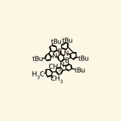 Cc1cc(C)c(-c2ccc3c4cc(C(C)(C)C)cc5c4n(c3c2)-c2cc3c4c6c2B5c2cc(C(C)(C)C)cc5c7cc(C(C)(C)C)cc(c7n-6c25)B4c2cc(C(C)(C)C)cc4c5cc(C(C)(C)C)ccc5n-3c24)c(C)c1